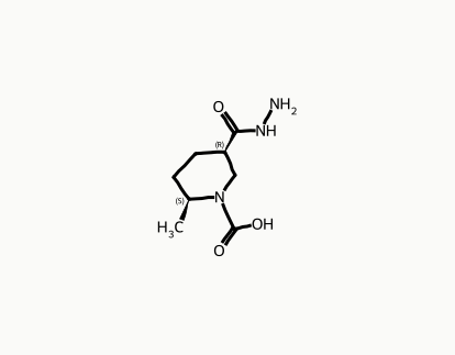 C[C@H]1CC[C@@H](C(=O)NN)CN1C(=O)O